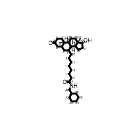 C[C@]12CCC(=O)CC1CC(CCCCCCCC(=O)NCC1CCCCC1)[C@@H]1[C@H]2CC[C@]2(C)C(O)CC[C@@H]12